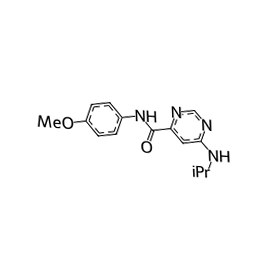 COc1ccc(NC(=O)c2cc(NC(C)C)ncn2)cc1